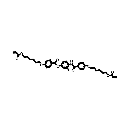 C=CC(=O)OCCCCCCOc1ccc(C(=O)Nc2ccc(OC(=O)c3ccc(OCCCCCCOC(=O)C=C)cc3)cc2C)cc1